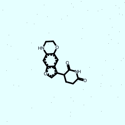 O=C1CCC(c2coc3cc4c(cc23)OCCN4)C(=O)N1